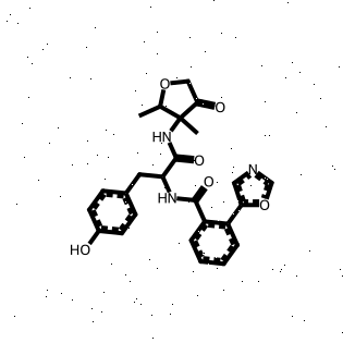 CC1OCC(=O)C1(C)NC(=O)C(Cc1ccc(O)cc1)NC(=O)c1ccccc1-c1cnco1